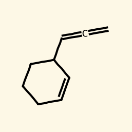 C=C=CC1C=CCCC1